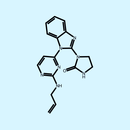 C=CCNc1nccc(-n2c(N3CCNC3=O)nc3ccccc32)n1